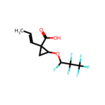 CC=CC1(C(=O)O)CC1OC(F)C(F)(F)C(F)(F)F